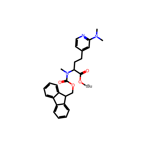 CN(C)c1cc(CCC(C(=O)OC(C)(C)C)N(C)C(=O)OCC2c3ccccc3-c3ccccc32)ccn1